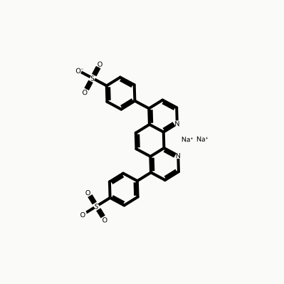 O=S(=O)([O-])c1ccc(-c2ccnc3c2ccc2c(-c4ccc(S(=O)(=O)[O-])cc4)ccnc23)cc1.[Na+].[Na+]